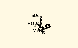 CCCCCCCCCCCCCCCC(CC(=O)O)C(=O)N[C@@H](Cc1ccccc1)C(=O)NC